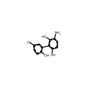 Nc1ccc(O)c(-c2cc(Cl)ccc2O)c1O